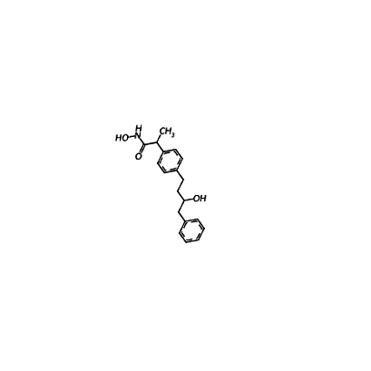 CC(C(=O)NO)c1ccc(CCC(O)Cc2ccccc2)cc1